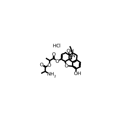 CC(N)C(=O)OC(C)C(=O)OC1=CCC2(O)C3Cc4ccc(O)c5c4C2(CCN3C)C1O5.Cl